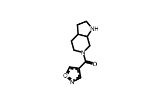 O=C(c1cnoc1)N1CCC2CCNC2C1